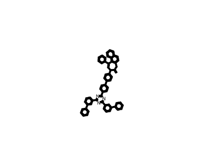 C=C1Cc2ccc3ccccc3c2C(c2ccccc2)=CC1c1ccc(-c2ccc(-c3nc(-c4cccc(-c5ccccc5)c4)nc(-c4cccc(-c5ccccc5)c4)n3)cc2)cc1